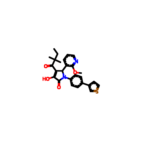 CCC(C)(C)C(=O)C1=C(O)C(=O)N(c2ccc(-c3ccsc3)cc2)C1c1cccnc1OC